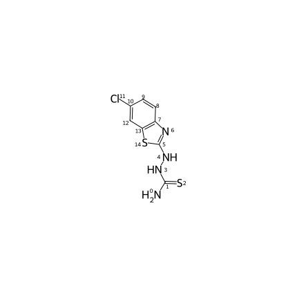 NC(=S)NNc1nc2ccc(Cl)cc2s1